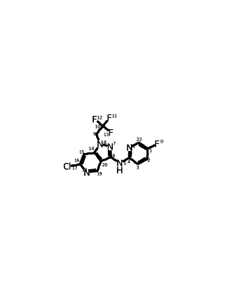 Fc1ccc(Nc2nn(CC(F)(F)F)c3cc(Cl)ncc23)nc1